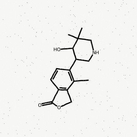 Cc1c(C2CNCC(C)(C)C2O)ccc2c1COC2=O